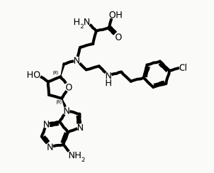 Nc1ncnc2c1ncn2[C@H]1CC(O)[C@@H](CN(CCNCCc2ccc(Cl)cc2)CCC(N)C(=O)O)O1